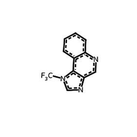 FC(F)(F)n1cnc2cnc3ccccc3c21